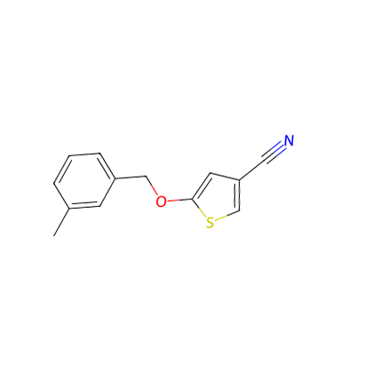 Cc1cccc(COc2cc(C#N)cs2)c1